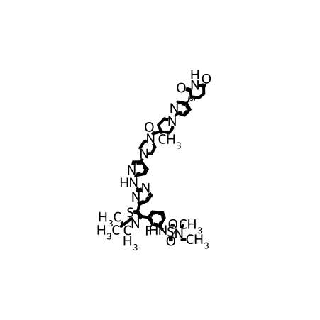 CCN(C)S(=O)(=O)Nc1cccc(-c2nc(C(C)(C)C)sc2-c2ccnc(Nc3ccc(N4CCN(C(=O)C5(C)CCN(c6ccc([C@@H]7CCC(=O)NC7=O)cn6)CC5)CC4)cn3)n2)c1F